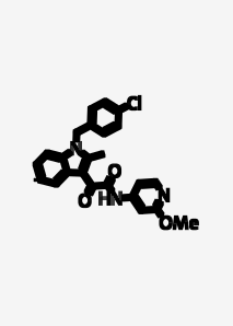 COc1cc(NC(=O)C(=O)c2c(C)n(Cc3ccc(Cl)cc3)c3cc[c]cc23)ccn1